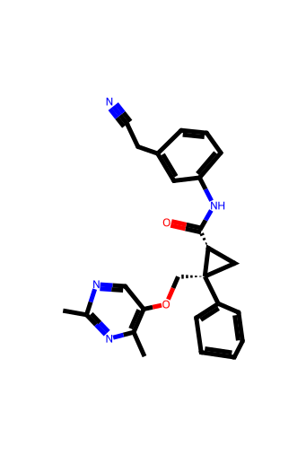 Cc1ncc(OC[C@@]2(c3ccccc3)C[C@H]2C(=O)Nc2cccc(CC#N)c2)c(C)n1